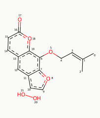 CC(C)=CCOc1c2occc2cc2ccc(=O)oc12.OO